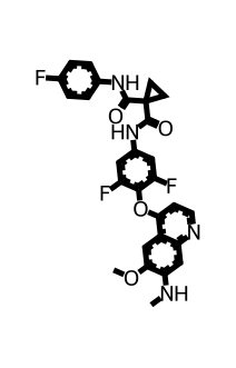 CNc1cc2nccc(Oc3c(F)cc(NC(=O)C4(C(=O)Nc5ccc(F)cc5)CC4)cc3F)c2cc1OC